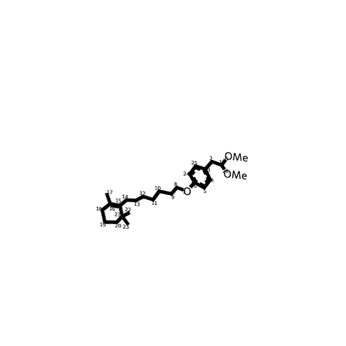 COC(Cc1ccc(OCCCCCCCC2=C(C)CCCC2(C)C)cc1)OC